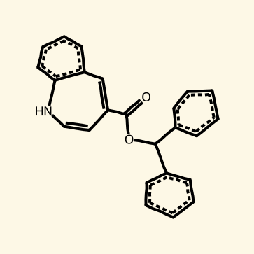 O=C(OC(c1ccccc1)c1ccccc1)C1=Cc2ccccc2NC=C1